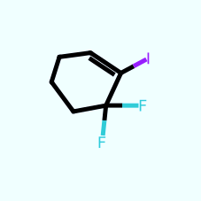 FC1(F)CCCC=C1I